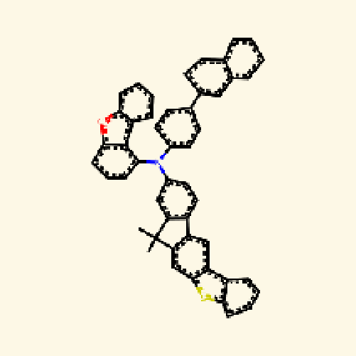 CC1(C)c2cc(N(c3ccc(-c4ccc5ccccc5c4)cc3)c3cccc4oc5ccccc5c34)ccc2-c2cc3c(cc21)sc1ccccc13